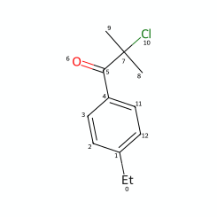 CCc1ccc(C(=O)C(C)(C)Cl)cc1